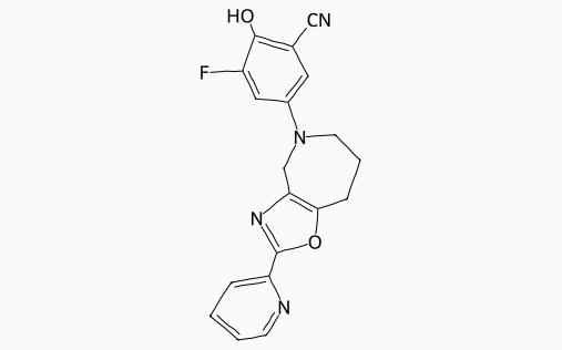 N#Cc1cc(N2CCCc3oc(-c4ccccn4)nc3C2)cc(F)c1O